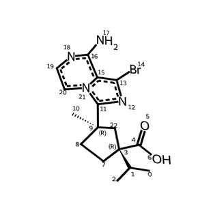 CC(C)[C@@]1(C(=O)O)CC[C@@](C)(c2nc(Br)c3c(N)nccn23)C1